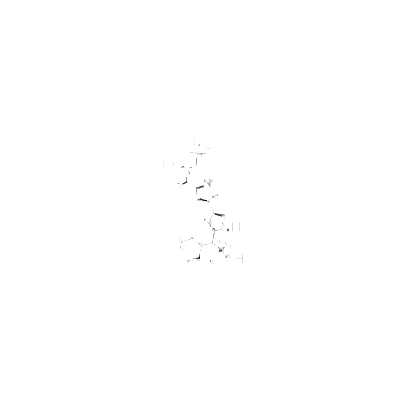 CN(CC(F)(F)F)C(=O)c1cc(-c2c[nH]c(C(C3CCOCC3)C(C)(C)C)n2)on1